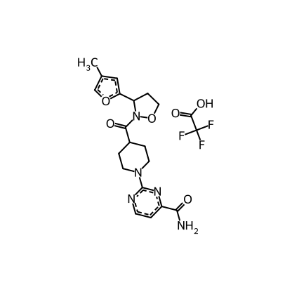 Cc1coc(C2CCON2C(=O)C2CCN(c3nccc(C(N)=O)n3)CC2)c1.O=C(O)C(F)(F)F